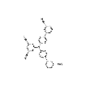 N#Cc1cccc(-c2ccc(N(c3ccc(-c4cccc(C#N)c4)cc3)c3cc(C#N)cc(C#N)c3)cc2)c1